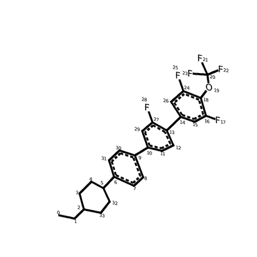 CCC1CCC(c2ccc(-c3ccc(-c4cc(F)c(OC(F)(F)F)c(F)c4)c(F)c3)cc2)CC1